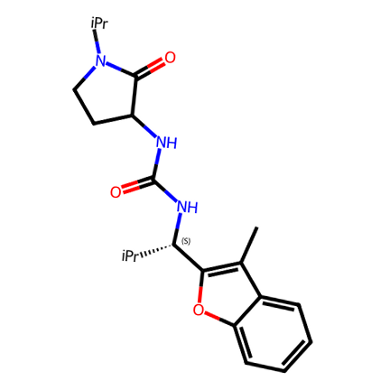 Cc1c([C@@H](NC(=O)NC2CCN(C(C)C)C2=O)C(C)C)oc2ccccc12